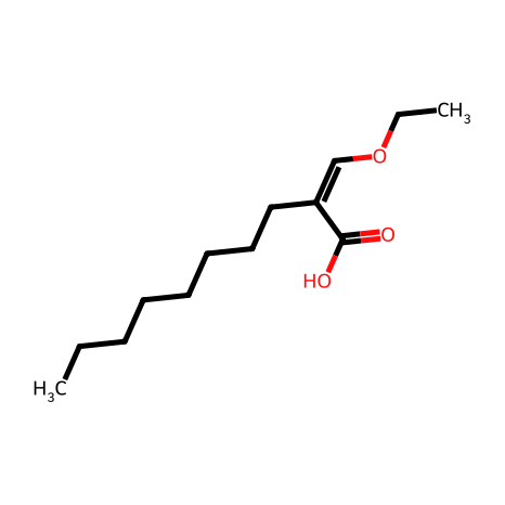 CCCCCCCC/C(=C/OCC)C(=O)O